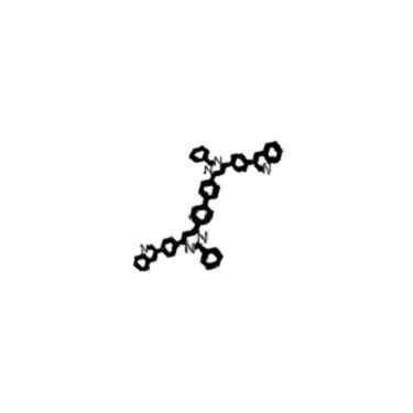 c1ccc(-c2nc(-c3ccc(-c4ccc(-c5cc(-c6ccc(-c7cnc8ccccc8c7)cc6)nc(-c6ccccc6)n5)cc4)cc3)cc(-c3ccc(-c4cnc5ccccc5c4)cc3)n2)cc1